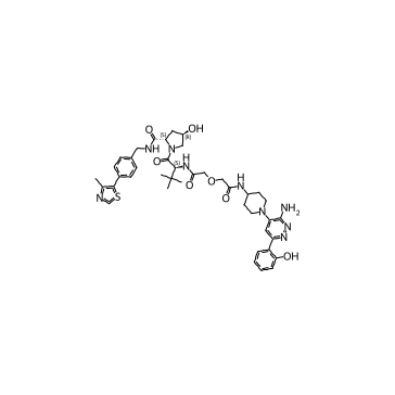 Cc1ncsc1-c1ccc(CNC(=O)[C@@H]2C[C@@H](O)CN2C(=O)[C@@H](NC(=O)COCC(=O)NC2CCN(c3cc(-c4ccccc4O)nnc3N)CC2)C(C)(C)C)cc1